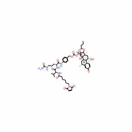 CCCC1O[C@@H]2C[C@H]3[C@@H]4C[C@H](F)C5=CC(=O)C=C[C@]5(C)[C@@]4(F)[C@@H](O)C[C@]3(C)[C@]2(C(=O)COC(=O)OCc2ccc(NC(=O)[C@H](CCCNC(N)=O)NC(=O)C(NC(=O)CCCCCN3C(=O)C=CC3=O)C(C)C)cc2)O1